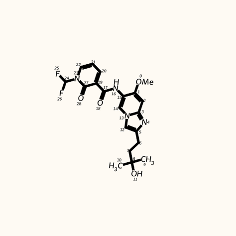 COc1cc2nc(CCC(C)(C)O)cn2cc1NC(=O)c1cccn(C(F)F)c1=O